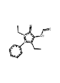 CCc1c(NC=O)c(=O)n(CC)n1-c1ccccc1